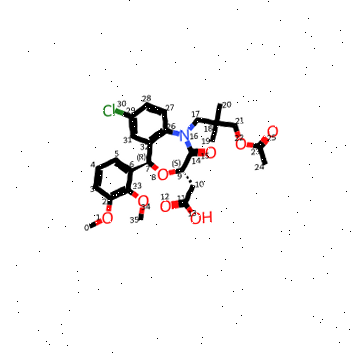 COc1cccc([C@@H]2O[C@@H](CC(=O)O)C(=O)N(CC(C)(C)COC(C)=O)c3ccc(Cl)cc32)c1OC